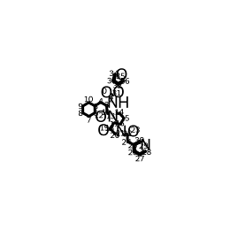 O=C(NC(CC1CCCCC1)C(=O)N1CCC2C1C(=O)CN2C(=O)Cc1cccnc1)Oc1ccoc1